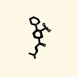 CN(C)/C=C/C(=O)c1ccc(N2CCCCC2)c([N+](=O)[O-])c1